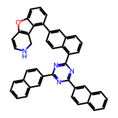 C1=Cc2oc3cccc(-c4ccc5c(-c6nc(-c7ccc8ccccc8c7)nc(-c7ccc8ccccc8c7)n6)cccc5c4)c3c2CN1